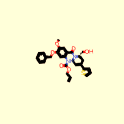 C=CCOC(=O)Nc1cc(OCc2ccccc2)c(OC)cc1C(=O)N1CC=C(c2cccs2)C[C@H]1CO